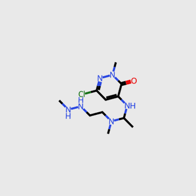 CNNCCN(C)C(C)Nc1cc(Cl)nn(C)c1=O